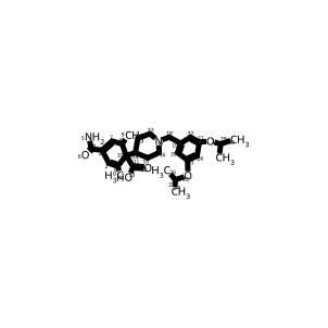 CC1=CC(C(N)=O)=CC(C)C1(C(=O)O)C1CCN(Cc2cc(OC(C)C)cc(OC(C)C)c2)CC1